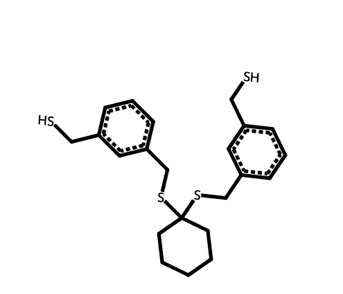 SCc1cccc(CSC2(SCc3cccc(CS)c3)CCCCC2)c1